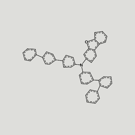 c1ccc(-c2ccc(-c3ccc(N(c4cccc(-c5ccccc5-c5ccccc5)c4)c4ccc5c(c4)oc4ccccc45)cc3)cc2)cc1